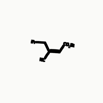 CCOC(=O)/C=C(/C#N)CC(C)C